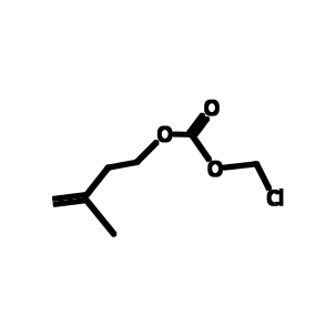 C=C(C)CCOC(=O)OCCl